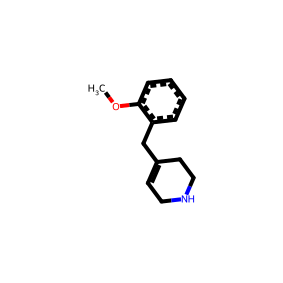 COc1ccccc1CC1=CCNCC1